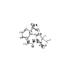 CC(C)C1(C)N=C(c2c(C(=O)O)cccc2N(C)C)NC1=O